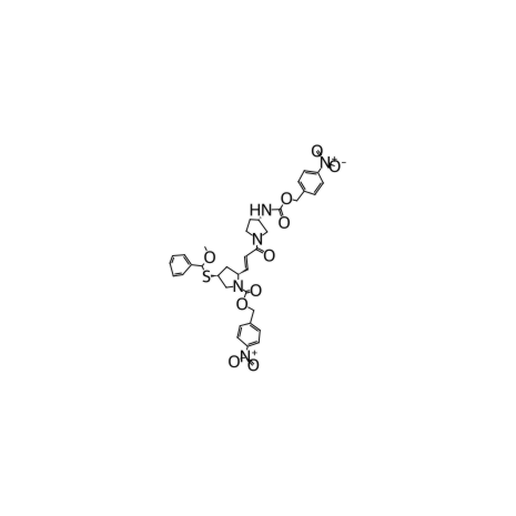 COC(S[C@H]1C[C@@H](/C=C/C(=O)N2CC[C@H](NC(=O)OCc3ccc([N+](=O)[O-])cc3)C2)N(C(=O)OCc2ccc([N+](=O)[O-])cc2)C1)c1ccccc1